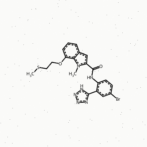 CSCCOc1cccc2cc(C(=O)Nc3ccc(Br)cc3-c3nnn[nH]3)n(C)c12